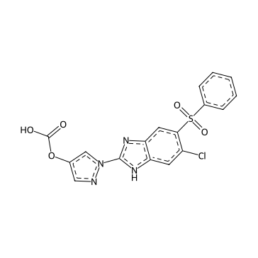 O=C(O)Oc1cnn(-c2nc3cc(S(=O)(=O)c4ccccc4)c(Cl)cc3[nH]2)c1